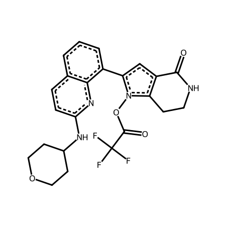 O=C1NCCc2c1cc(-c1cccc3ccc(NC4CCOCC4)nc13)n2OC(=O)C(F)(F)F